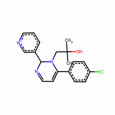 CC(C)(O)CN1C(c2ccc(Cl)cc2)=CC=NC1c1cccnc1